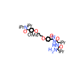 COc1cc(C(=O)N(C(C)C)C(C)C)ccc1OCCCCOc1ccc2c(NC(=O)C(NC(=O)C(N)C(C)C)C(C)C)noc2c1